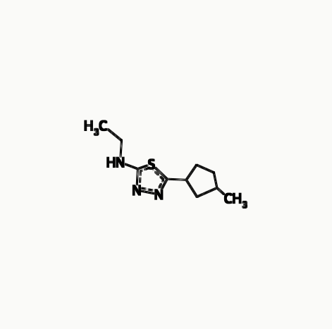 CCNc1nnc(C2CCC(C)C2)s1